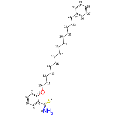 NC(=S)c1ccccc1OCCCCCCCCCCCCCCCc1ccccc1